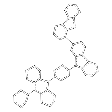 c1ccc(-c2c3ccccc3c(-c3ccc(-n4c5ccccc5c5ccc(-c6cccc7c6sc6ccccc67)cc54)cc3)c3ccccc23)cc1